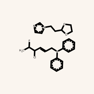 CC(F)C(Cl)C=CCB(c1ccccc1)c1ccccc1.c1cn(CCC2OCCO2)cn1